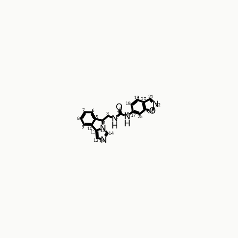 O=C(NCC1c2ccccc2-c2cncn21)Nc1ccc2cnoc2c1